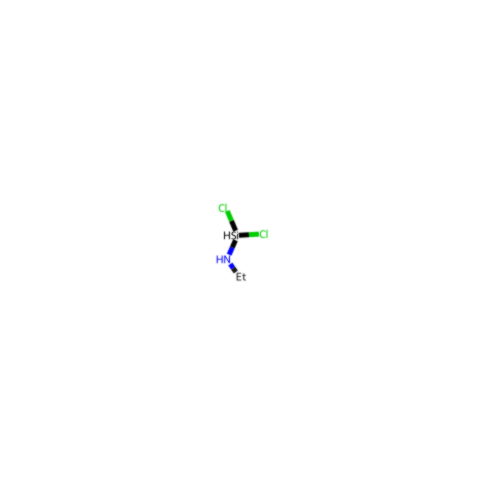 CCN[SiH](Cl)Cl